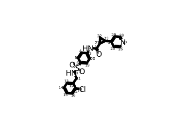 O=C(Nc1ccc(S(=O)(=O)NCc2ccccc2Cl)cc1)C1CC1c1ccncc1